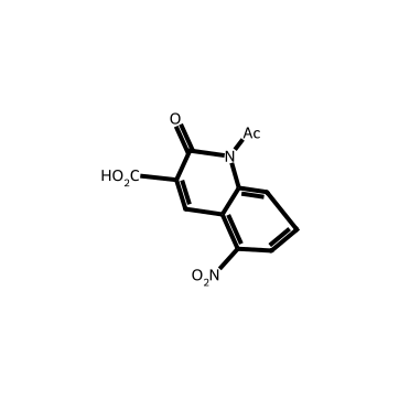 CC(=O)n1c(=O)c(C(=O)O)cc2c([N+](=O)[O-])cccc21